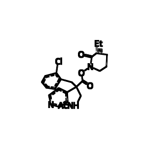 CC[C@@H]1CCCN(OC(=O)C(CNC(C)=O)(Cc2ccccc2Cl)c2ccncc2)C1=O